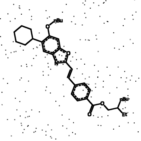 CCCCOc1cc2oc(C=Cc3ccc(C(=O)OCC(CC)CCCC)cc3)nc2cc1C1CCCCC1